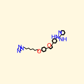 N=C(Nc1ccc(-c2ccc(-c3ccc(OCCCCCCCn4cncn4)cc3)o2)cc1)c1ccccn1